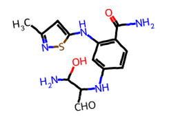 Cc1cc(Nc2cc(NC(C=O)C(N)O)ccc2C(N)=O)sn1